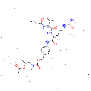 CCCC(=O)N[C@H](C(=O)N[C@@H](CCCNC(N)=O)C(=O)Nc1ccc(COC(=O)N(C)CC(C)OC(C)=O)cc1)C(C)C